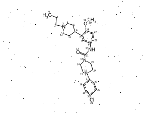 CCCN1CCC(c2cc(NC(=O)N3CCN(c4ccc(Cl)cc4)CC3)ccc2OC)CC1